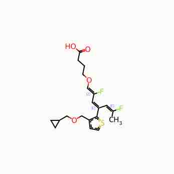 C\C(F)=C/C(=C\C(F)=C\OCCCC(=O)O)c1sccc1COCC1CC1